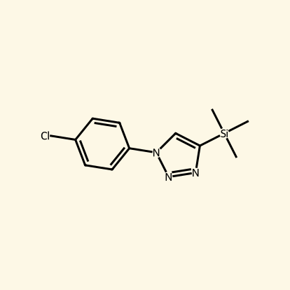 C[Si](C)(C)c1cn(-c2ccc(Cl)cc2)nn1